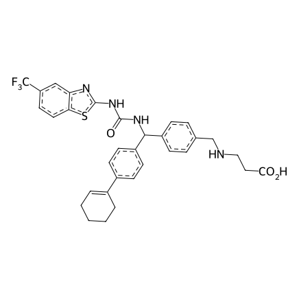 O=C(O)CCNCc1ccc(C(NC(=O)Nc2nc3cc(C(F)(F)F)ccc3s2)c2ccc(C3=CCCCC3)cc2)cc1